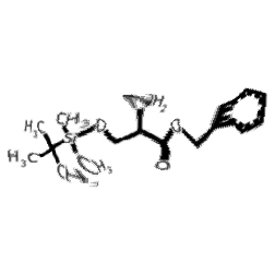 CC(C)(C)[Si](C)(C)OCC(N)C(=O)OCc1ccccc1